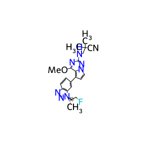 COc1nc(NCC(C)(C)C#N)nn2ccc(-c3ccc4nnn([C@@H](C)CF)c4c3)c12